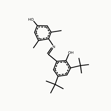 Cc1cc(O)cc(C)c1N=Cc1cc(C(C)(C)C)cc(C(C)(C)C)c1O